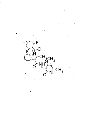 COc1cc(C)[nH]c(=O)c1CNC(=O)c1c(C)n([C@H](C)C2C(F)CNCC2F)c2ccccc12